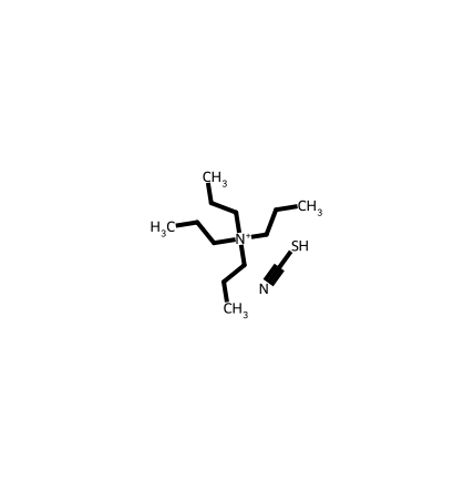 CCC[N+](CCC)(CCC)CCC.N#CS